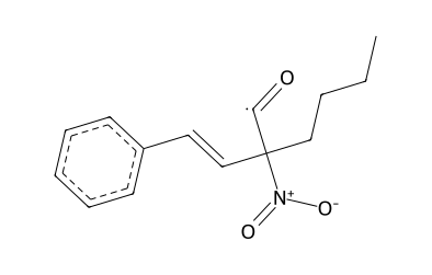 CCCCC([C]=O)(C=Cc1ccccc1)[N+](=O)[O-]